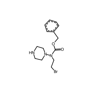 O=C(OCc1ccccc1)N(CCBr)N1CCNCC1